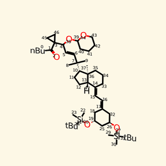 CCCCC(=O)C1(C(/C=C/C(C)(C)[C@H]2CC[C@H]3/C(=C/C=C4C[C@@H](O[Si](C)(C)C(C)(C)C)C[C@H](O[Si](C)(C)C(C)(C)C)C4)CCC[C@]23C)OC2CCCCO2)CC1